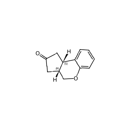 O=C1C[C@H]2COc3ccccc3[C@H]2C1